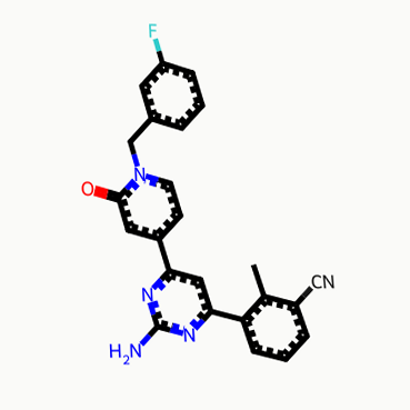 Cc1c(C#N)cccc1-c1cc(-c2ccn(Cc3cccc(F)c3)c(=O)c2)nc(N)n1